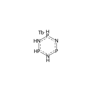 [Tb].n1p[nH][pH][nH][pH]1